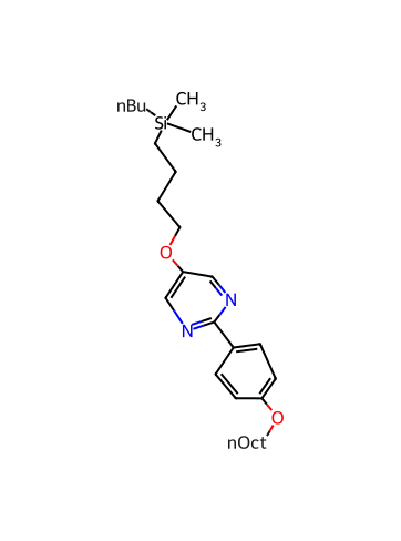 CCCCCCCCOc1ccc(-c2ncc(OCCCC[Si](C)(C)CCCC)cn2)cc1